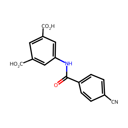 N#Cc1ccc(C(=O)Nc2cc(C(=O)O)cc(C(=O)O)c2)cc1